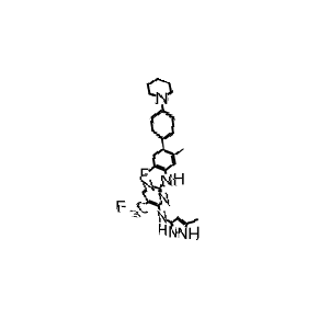 CC1=CC(Nc2ncc(C(F)(F)F)c(Nc3cc(C)[nH]n3)n2)=C(F)C[C@H]1C1CCC(N2CCCCC2)CC1